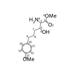 COC(=O)C(N)C(O)CCCc1ccc(OC)cc1